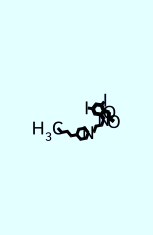 CCCCC1CCN(CCCn2c(=O)oc3c(I)cc(I)cc32)CC1